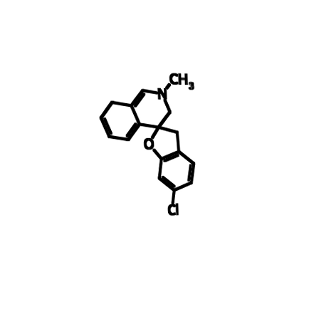 CN1C=C2CC=CC=C2C2(Cc3ccc(Cl)cc3O2)C1